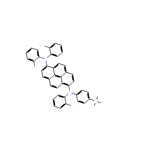 [C-]#[N+]c1ccccc1N(c1ccccc1C#N)c1ccc2ccc3c(N(c4ccc([Si](C)(C)C)cc4)c4ccccc4C#N)ccc4ccc1c2c43